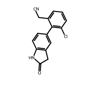 N#CCc1cccc(Cl)c1-c1ccc2c(c1)CC(=O)N2